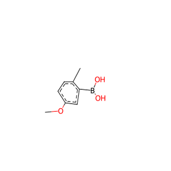 COc1ccc(C)c(B(O)O)c1